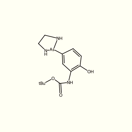 CC(C)(C)OC(=O)Nc1cc([As]2NCCN2)ccc1O